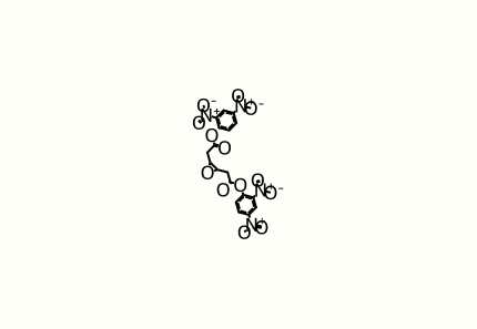 O=C(CC1OC1CC(=O)Oc1ccc([N+](=O)[O-])cc1[N+](=O)[O-])Oc1ccc([N+](=O)[O-])cc1[N+](=O)[O-]